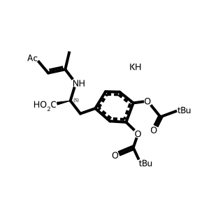 CC(=O)C=C(C)N[C@@H](Cc1ccc(OC(=O)C(C)(C)C)c(OC(=O)C(C)(C)C)c1)C(=O)O.[KH]